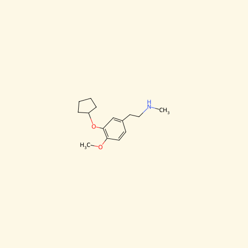 CNCCc1ccc(OC)c(OC2CCCC2)c1